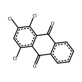 O=C1c2ccccc2C(=O)c2c(Cl)c(Cl)cc(Cl)c21